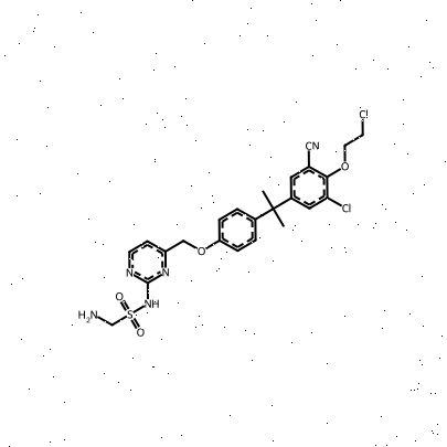 CC(C)(c1ccc(OCc2ccnc(NS(=O)(=O)CN)n2)cc1)c1cc(Cl)c(OCCCl)c(C#N)c1